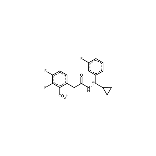 O=C(Cc1ccc(F)c(F)c1C(=O)O)N[C@H](c1cccc(F)c1)C1CC1